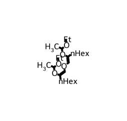 CCCCCCC(=COC=C(CCCCCC)OC(C)OCC)OC(C)OCC